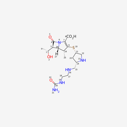 C[C@@H](O)[C@H]1C(=O)N2C(C(=O)O)=C(S[C@@H]3CN[C@H](CNCCNC(N)=O)C3)[C@H](C)[C@H]12